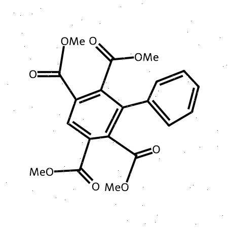 COC(=O)c1cc(C(=O)OC)c(C(=O)OC)c(-c2ccccc2)c1C(=O)OC